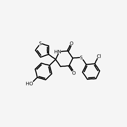 O=C1CC(c2ccc(O)cc2)(c2ccsc2)NC(=O)C1Sc1ccccc1Cl